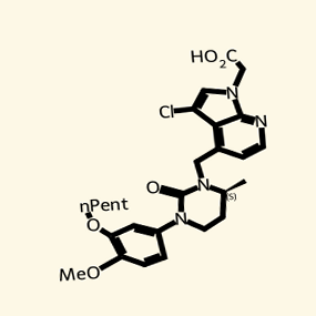 CCCCCOc1cc(N2CC[C@H](C)N(Cc3ccnc4c3c(Cl)cn4CC(=O)O)C2=O)ccc1OC